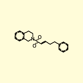 O=S(=O)(C=CCCc1ccccc1)N1CCc2ccccc2C1